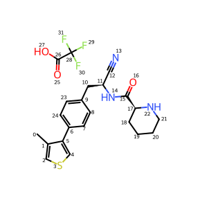 Cc1cscc1-c1ccc(C[C@@H](C#N)NC(=O)[C@@H]2CCCCN2)cc1.O=C(O)C(F)(F)F